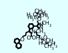 Cc1nn(C)c(CO[Si](C)(C)C(C)(C)C)c1-c1cccc2c(CCCOc3cccc4ccccc34)c(C(=O)O)n(CCCNC(=O)OC(C)(C)C)c12